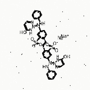 O=S(=O)([O-])c1cc(N(Nc2ccccc2)N2N=CC=C(O)N2)ccc1C=Cc1ccc(N(Nc2ccccc2)N2N=CC=C(O)N2)cc1S(=O)(=O)[O-].[Na+].[Na+]